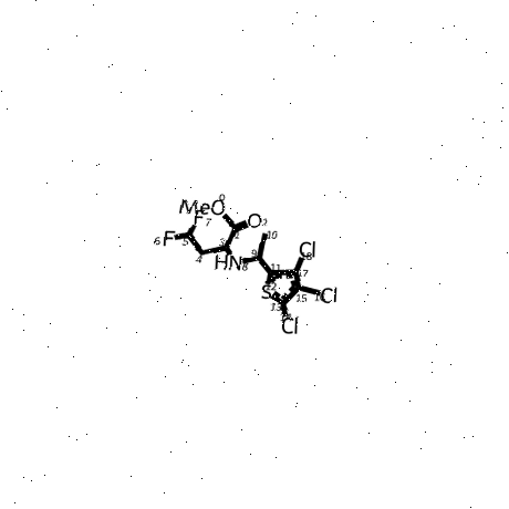 COC(=O)C(CC(F)F)NC(C)c1sc(Cl)c(Cl)c1Cl